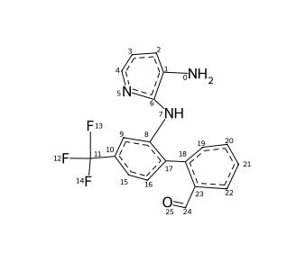 Nc1cccnc1Nc1cc(C(F)(F)F)ccc1-c1ccccc1C=O